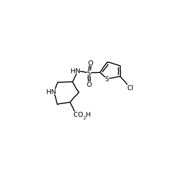 O=C(O)C1CNCC(NS(=O)(=O)c2ccc(Cl)s2)C1